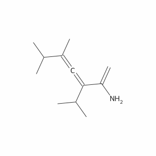 C=C(N)C(=C=C(C)C(C)C)C(C)C